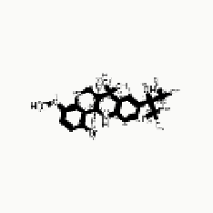 COc1ccc(Br)c2c1SC[C@@H]1[C@H]2Nc2ccc(C(O)(C(F)(F)F)C(F)(F)F)cc2C1(C)C